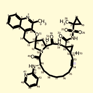 Cc1nc2ccccc2c2c1O[C@]1(CC2)C[C@H]2C(=O)N[C@]3(C(=O)NS(=O)(=O)C4(C)CC4)C[C@H]3/C=C\CCCCC[C@H](Nc3ccccn3)C(=O)N2C1